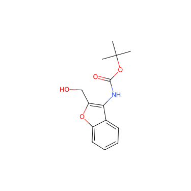 CC(C)(C)OC(=O)Nc1c(CO)oc2ccccc12